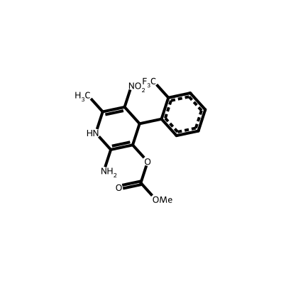 COC(=O)OC1=C(N)NC(C)=C([N+](=O)[O-])C1c1ccccc1C(F)(F)F